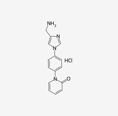 Cl.NCc1cn(-c2ccc(-n3ccccc3=O)cc2)cn1